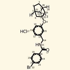 CN1[C@@H]2CC[C@H]1C[C@H](Oc1cccc(CNC(=O)c3ccc(Br)cc3)c1)C2.Cl